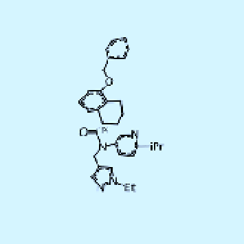 CCn1cc(CN(C(=O)[C@H]2CCCc3c(OCc4ccccc4)cccc32)c2ccc(C(C)C)nc2)cn1